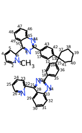 CN1C=CC=CC1c1nc(-c2ccc(C3(c4ccc(-c5nc(-c6ccccn6)c6ccccc6n5)cc4)CCCCC3)cc2)nc2ccccc12